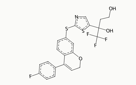 OCCC(O)(c1cnc(Sc2ccc3c(c2)OCC=C3c2ccc(F)cc2)s1)C(F)(F)F